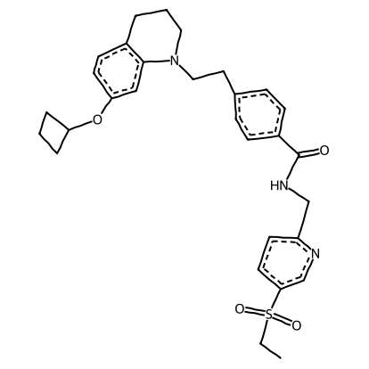 CCS(=O)(=O)c1ccc(CNC(=O)c2ccc(CCN3CCCc4ccc(OC5CCC5)cc43)cc2)nc1